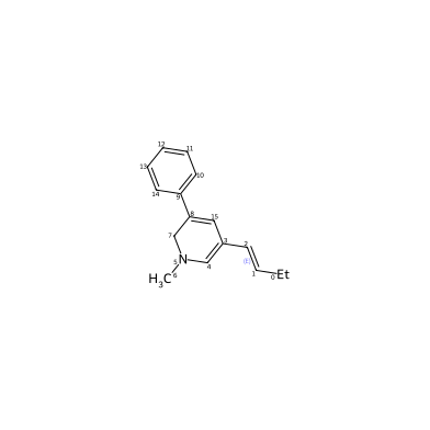 CC/C=C/C1=CN(C)CC(c2ccccc2)=C1